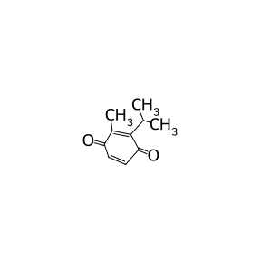 CC1=C(C(C)C)C(=O)C=CC1=O